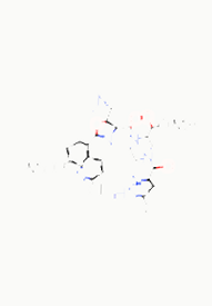 COC(=O)C1CN(C(=O)c2cc(C)[nH]n2)CCN1C(=O)c1nc(-c2ccc(OC)c3nc(C(F)(F)F)ccc23)oc1CN